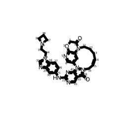 O=C1COc2ncc3cc2N1CCC/C=C\Cn1c(=O)c2cnc(Nc4ccc5c(c4)ncn5CCN4CCC4)nc2n1-3